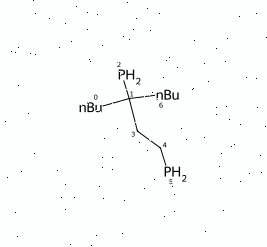 CCCCC(P)(CCP)CCCC